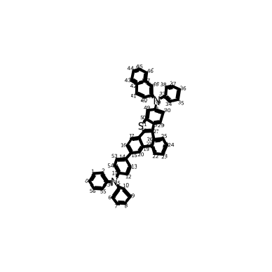 c1ccc(N(c2ccccc2)c2ccc(-c3ccc4c(c3)c3ccccc3c3c5ccc(N(c6ccccc6)c6ccc7ccccc7c6)cc5sc43)cc2)cc1